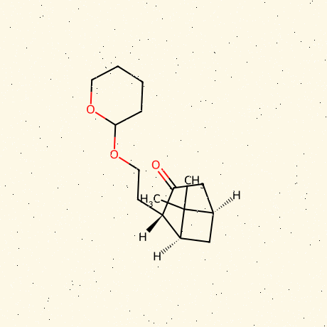 CC1(C)[C@H]2CC(=O)[C@@H](CCOC3CCCCO3)[C@@H]1C2